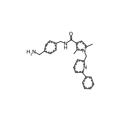 Cc1cc(C(=O)NCc2ccc(CN)cc2)c(C)n1Cc1cccc(-c2ccccc2)n1